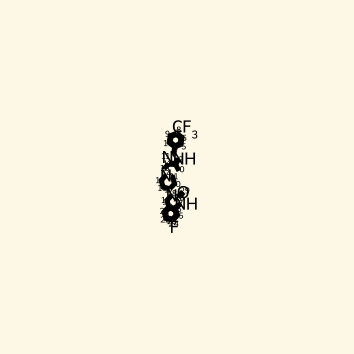 Cc1[nH]c(-c2ccc(C(F)(F)F)cc2)nc1CN1CCC(N2Cc3ccc(F)cc3NC2=O)CC1